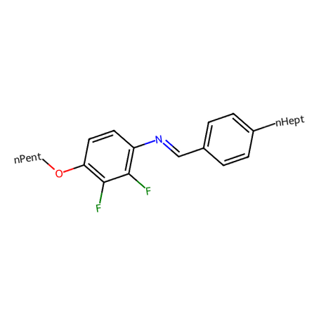 CCCCCCCc1ccc(C=Nc2ccc(OCCCCC)c(F)c2F)cc1